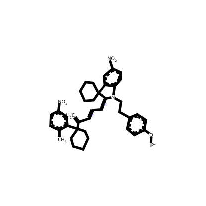 C=C(/C=C/C=C1/N(CCc2ccc(OC(C)C)cc2)c2ccc([N+](=O)[O-])cc2C12CCCCC2)C1(c2cc([N+](=O)[O-])ccc2C)CCCCC1